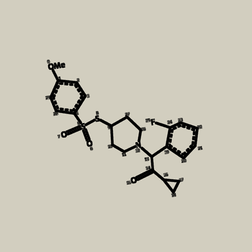 COc1ccc(S(=O)(=O)SC2CCN(C(C(=O)C3CC3)c3ccccc3F)CC2)cc1